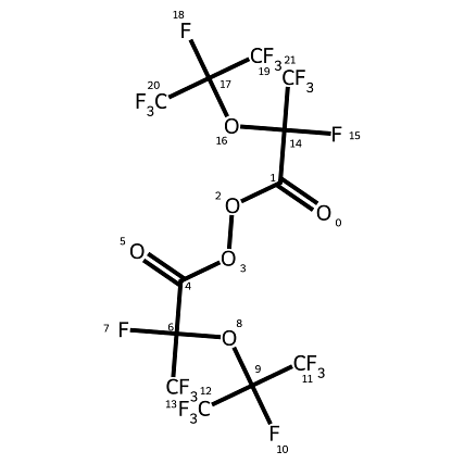 O=C(OOC(=O)C(F)(OC(F)(C(F)(F)F)C(F)(F)F)C(F)(F)F)C(F)(OC(F)(C(F)(F)F)C(F)(F)F)C(F)(F)F